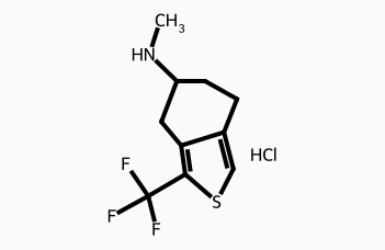 CNC1CCc2csc(C(F)(F)F)c2C1.Cl